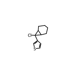 ClC1(c2ccsc2)C2CCCCC21